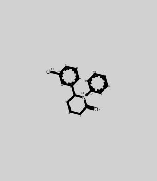 O=C1CCCC(c2cccc(Cl)c2)N1c1ccccc1